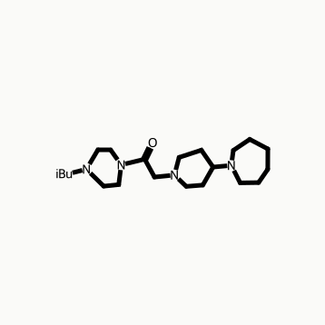 CCC(C)N1CCN(C(=O)CN2CCC(N3CCCCCC3)CC2)CC1